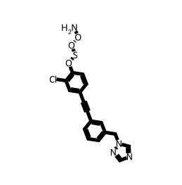 NOOSOc1ccc(C#Cc2cccc(Cn3cncn3)c2)cc1Cl